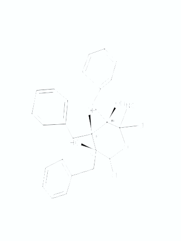 [C-]#[N+]C1(Cl)OC(Cl)[C@](O)(Cc2ccccc2)[C@](O)(Cc2ccccc2)[C@]1(O)Cc1ccccc1